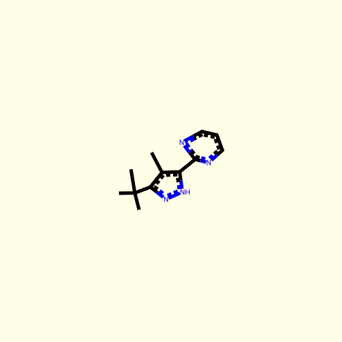 Cc1c(C(C)(C)C)n[nH]c1-c1ncccn1